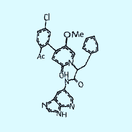 COc1cn(C(Cc2ccccc2)C(=O)Nc2cnc3[nH]cnc3c2)c(=O)cc1-c1cc(Cl)ccc1C(C)=O